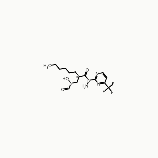 CCCCCC[C@H](CN(O)C=O)C(=O)N(N)c1nccc(C(F)(F)F)n1